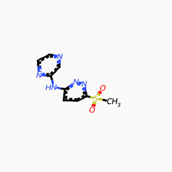 CS(=O)(=O)c1ccc(Nc2cnccn2)nn1